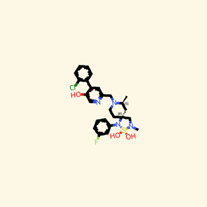 C[C@H]1C[C@]2(CCN1Cc1cc(-c3ccccc3Cl)c(O)cn1)CN(C)S(O)(O)N2c1cccc(F)c1